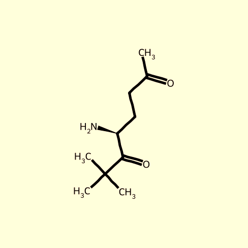 CC(=O)CC[C@H](N)C(=O)C(C)(C)C